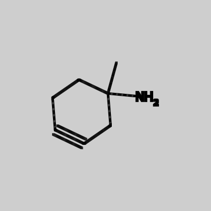 CC1(N)CC#CCC1